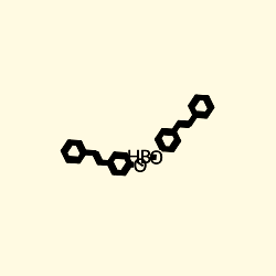 B(Oc1ccc(C=Cc2ccccc2)cc1)Oc1ccc(C=Cc2ccccc2)cc1